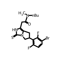 CCCCN(C)C(=O)Cc1[nH]c(=S)n2c1CC(c1c(F)ccc(Br)c1F)C2